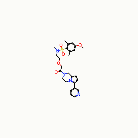 COc1cc(C)c(S(=O)(=O)N(C)CCOCC(=O)N2CCn3c(ccc3-c3cccnc3)C2)c(C)c1